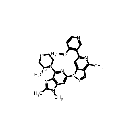 COc1ccncc1-c1cc2c(cnn2-c2cc3c(nc(C)n3C)c(N3CCOC[C@@H]3C)n2)c(C)n1